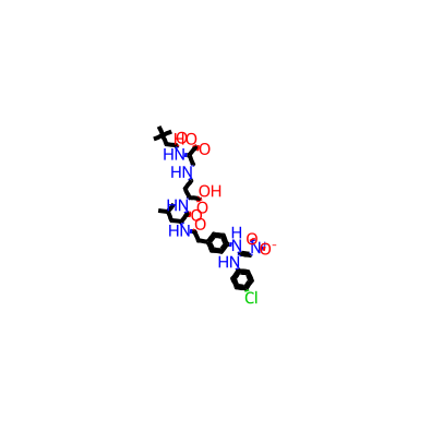 CC(C)CC(NC(=O)Cc1ccc(N/C(=C\[N+](=O)[O-])Nc2ccc(Cl)cc2)cc1)C(=O)NC(CCNCC(NC(=O)CC(C)(C)C)C(=O)O)C(=O)O